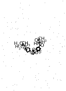 CC(=O)NNC(=O)c1ccc(O[C@H]2CCN(C3CCN(OC(=O)C(C)(C)C)CC3)C2=O)c(F)c1